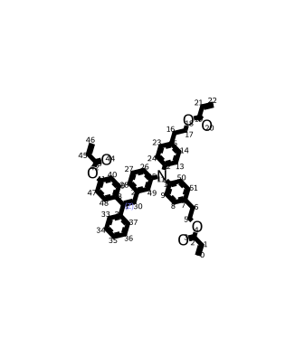 C=CC(=O)OCCc1ccc(N(c2ccc(CCOC(=O)C=C)cc2)c2cccc(/C=C(/c3ccccc3)c3ccc(OC(=O)C=C)cc3)c2)cc1